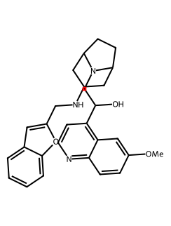 COc1ccc2nccc(C(O)CN3C4CCC3CC(NCc3cc5ccccc5o3)C4)c2c1